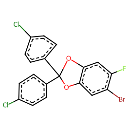 Fc1cc2c(cc1Br)OC(c1ccc(Cl)cc1)(c1ccc(Cl)cc1)O2